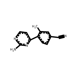 Cc1cc(C#N)ccc1-c1ccnc(N)n1